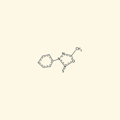 Cc1nn(-c2ccccc2)c(=S)o1